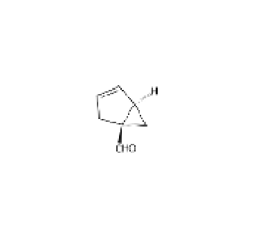 O=C[C@@]12CC=C[C@H]1C2